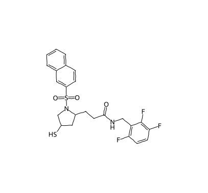 O=C(CCC1CC(S)CN1S(=O)(=O)c1ccc2ccccc2c1)NCc1c(F)ccc(F)c1F